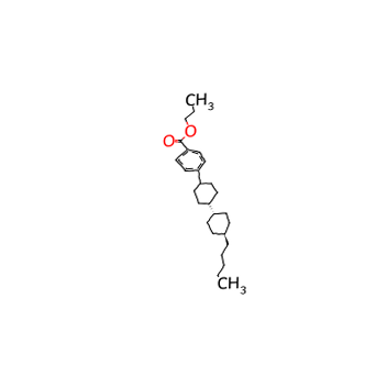 CCCCC[C@H]1CC[C@H](C2CCC(c3ccc(C(=O)OCCC)cc3)CC2)CC1